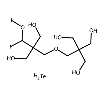 OCC(CO)(CO)COCC(CO)(CO)C(I)OI.[TeH2]